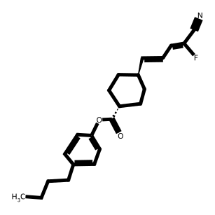 CCCCc1ccc(OC(=O)[C@H]2CC[C@H](C=CC=C(F)C#N)CC2)cc1